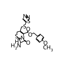 COc1ccc(COC(=O)C2=C(CSc3cnns3)CS[C@@H]3C(N)C(=O)N23)cc1